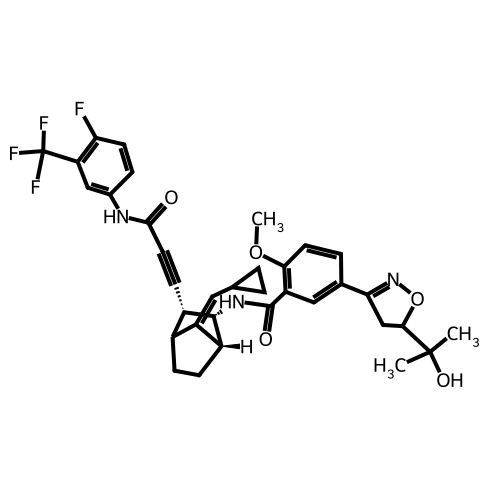 COc1ccc(C2=NOC(C(C)(C)O)C2)cc1C(=O)N[C@@H]1[C@@H]2CCC(/C2=C/C2CC2)[C@@H]1C#CC(=O)Nc1ccc(F)c(C(F)(F)F)c1